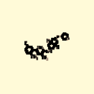 Cc1ccc(F)cc1-c1cc(C(F)(F)F)c(N[C@@H]2C[C@@H]3CN(C[C@@H]4CCOC4)C[C@@H]3C2)nn1